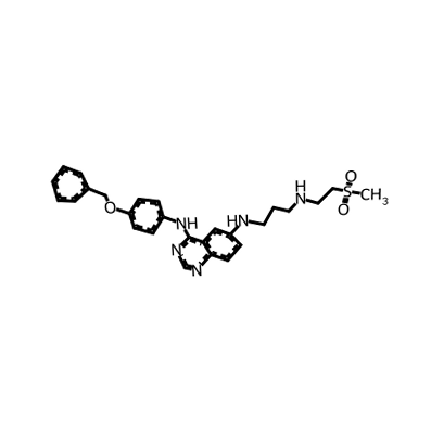 CS(=O)(=O)CCNCCCNc1ccc2ncnc(Nc3ccc(OCc4ccccc4)cc3)c2c1